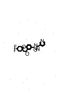 O=C1CC2(CCC(F)(F)CC2)Oc2ccc(-c3nc(-c4cccnc4)no3)cc21